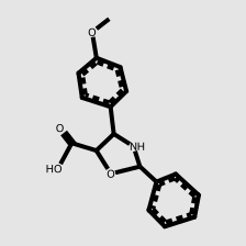 COc1ccc(C2NC(c3ccccc3)OC2C(=O)O)cc1